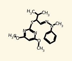 COc1cc(OC)nc(SC(/C=N/N(C)c2ccccc2)C(C)C)n1